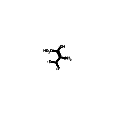 N/C(=C(\O)C(=O)O)C(F)F